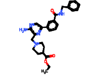 CCOC(=O)C1CCN(Cc2nc(-c3cccc(C(=O)NCc4ccccc4)c3)cnc2N)CC1